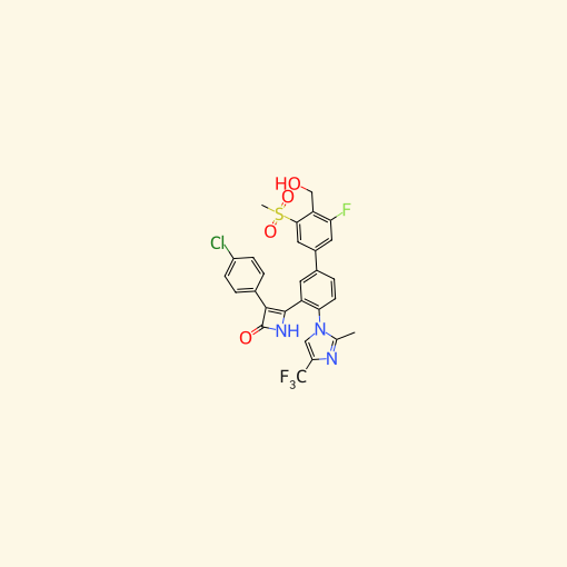 Cc1nc(C(F)(F)F)cn1-c1ccc(-c2cc(F)c(CO)c(S(C)(=O)=O)c2)cc1C1=C(c2ccc(Cl)cc2)C(=O)N1